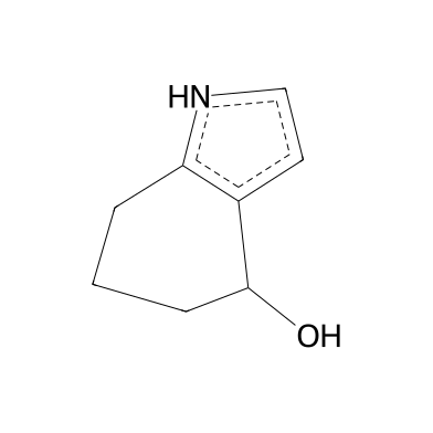 OC1CCCc2[nH]ccc21